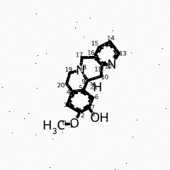 COc1cc2c(cc1O)[C@@H]1Cc3ncccc3CN1CC2